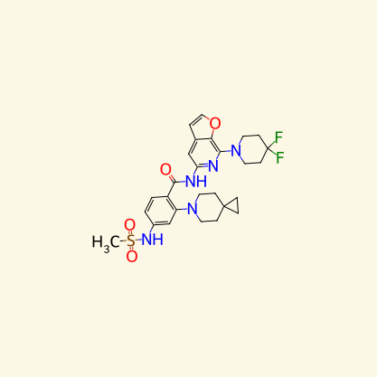 CS(=O)(=O)Nc1ccc(C(=O)Nc2cc3ccoc3c(N3CCC(F)(F)CC3)n2)c(N2CCC3(CC2)CC3)c1